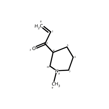 C=CC(=O)C1CCCN(C)C1